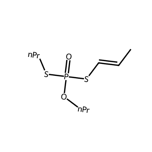 CC=CSP(=O)(OCCC)SCCC